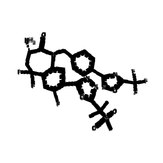 CC(C)(c1nnc(-c2cc3c(cc2F)C(F)(F)C[C@H](N)C(=O)N3Cc2ccc(-c3noc(C(F)(F)F)n3)cc2)o1)S(C)(=O)=O